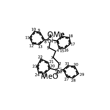 CO[Si](CCCC[Si](OC)(c1ccccc1)c1ccccc1)(c1ccccc1)c1ccccc1